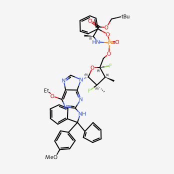 CCOc1nc(NC(c2ccccc2)(c2ccccc2)c2ccc(OC)cc2)nc2c1ncn2[C@@H]1O[C@](F)(COP(=O)(N[C@@H](C)C(=O)OCC(C)(C)C)Oc2ccccc2)[C@@H](C)[C@@]1(C)F